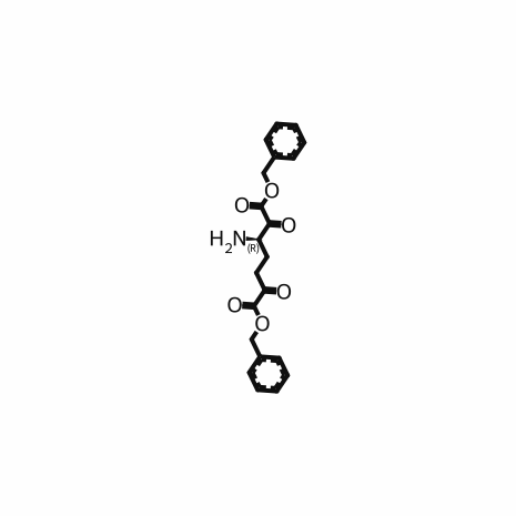 N[C@H](CCC(=O)C(=O)OCc1ccccc1)C(=O)C(=O)OCc1ccccc1